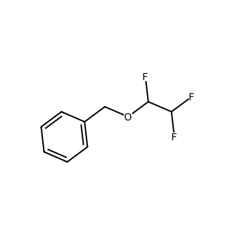 FC(F)C(F)OCc1ccccc1